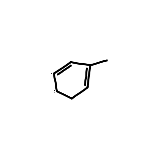 CC1=CC[C][C]=C1